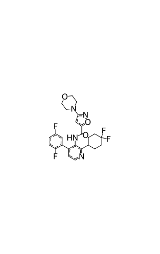 O=C(Nc1c(-c2cc(F)ccc2F)ccnc1C1CCC(F)(F)CC1)c1cc(N2CCOCC2)no1